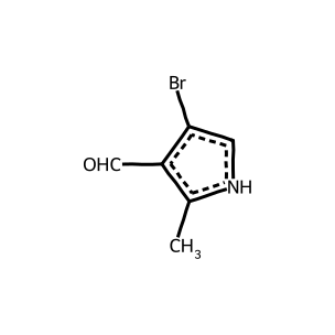 Cc1[nH]cc(Br)c1C=O